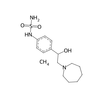 C.NS(=O)(=O)Nc1ccc(C(O)CN2CCCCCC2)cc1